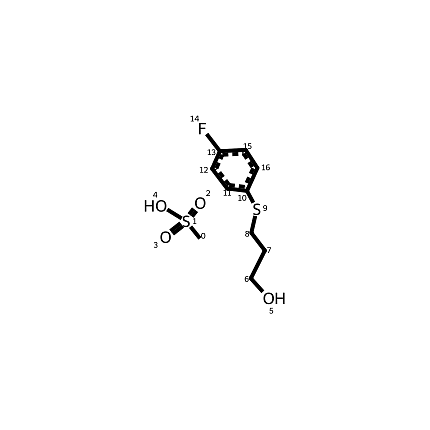 CS(=O)(=O)O.OCCCSc1ccc(F)cc1